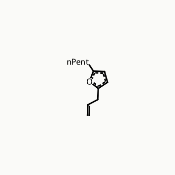 C=CCc1ccc(CCCCC)o1